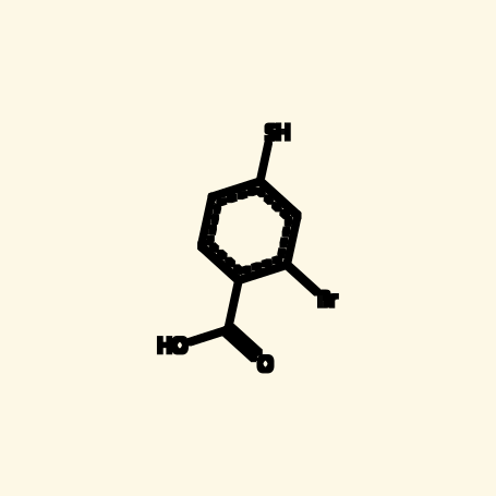 O=C(O)c1ccc(S)cc1Br